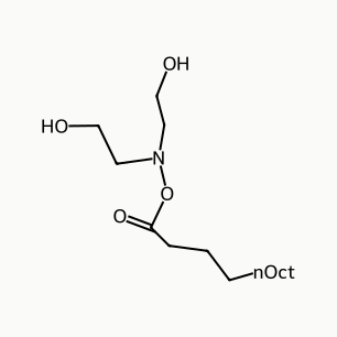 CCCCCCCCCCCC(=O)ON(CCO)CCO